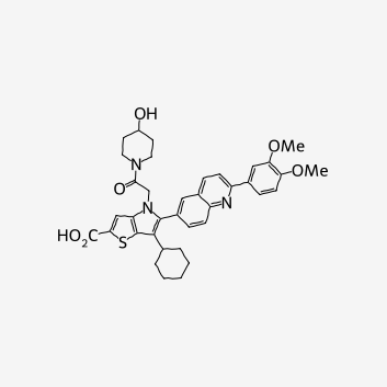 COc1ccc(-c2ccc3cc(-c4c(C5CCCCC5)c5sc(C(=O)O)cc5n4CC(=O)N4CCC(O)CC4)ccc3n2)cc1OC